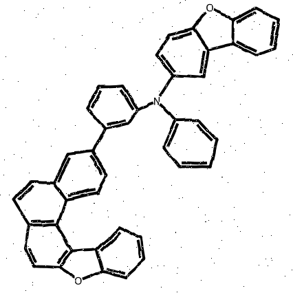 c1ccc(N(c2cccc(-c3ccc4c(ccc5ccc6oc7ccccc7c6c54)c3)c2)c2ccc3oc4ccccc4c3c2)cc1